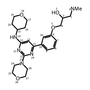 CNCC(O)COc1cccc(-c2cc(NC3CCOCC3)nc(N3CCOCC3)n2)c1